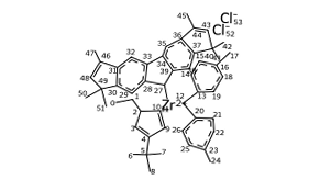 CCC1C=C(C(C)(C)C)C=[C]1[Zr+2](=[C](c1ccc(C)cc1)c1ccc(C)cc1)[CH]1c2cc3c(cc2-c2cc4c(cc21)C(C)(C)C=C4C)C(C)=CC3(C)C.[Cl-].[Cl-]